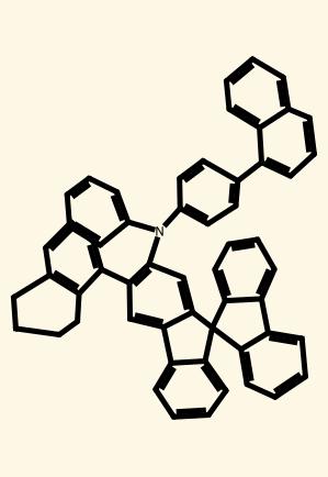 c1ccc(N(c2ccc(-c3cccc4ccccc34)cc2)c2cc3c(cc2-c2cccc4c2CCCC4)-c2ccccc2C32c3ccccc3-c3ccccc32)cc1